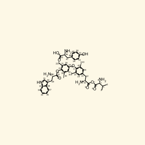 CC(C)[C@H](N)C(=O)OC(=O)[C@@H](N)Cc1cc(I)c(Oc2cc(I)c(OC(=O)[C@@H](N)Cc3c[nH]c4ccccc34)c(I)c2)c(I)c1.N[C@@H](Cc1ccc(O)cc1)C(=O)O